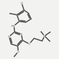 COc1cnc(Nc2cccc(Cl)c2C)nc1OCC[Si](C)(C)C